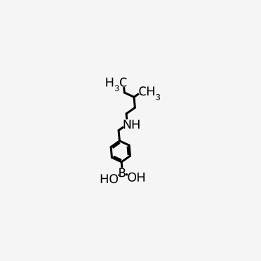 CCC(C)CCNCc1ccc(B(O)O)cc1